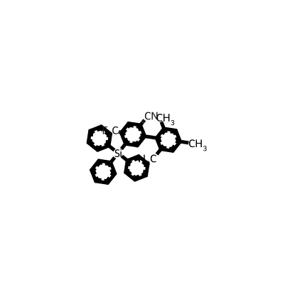 Cc1cc(C)c(-c2cc([Si](c3ccccc3)(c3ccccc3)c3ccccc3)c(C(F)(F)F)cc2C#N)c(C)c1